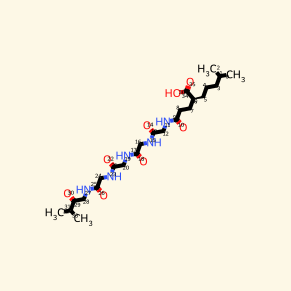 CC(C)CCC[C@@H](CCC(=O)NCC(=O)NCC(=O)NCC(=O)NCC(=O)NCC(=O)C(C)C)C(=O)O